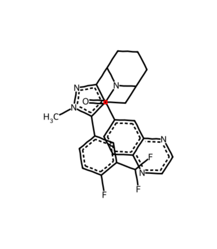 Cn1nc2c(c1-c1ccc(F)c(C(F)F)c1)CC1CCCC2N1C(=O)c1ccc2nccnc2c1